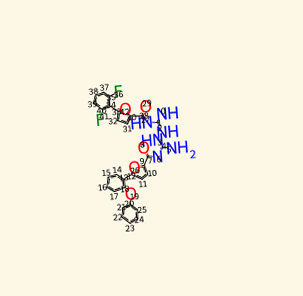 N=C(NNC(N)=NC(=O)c1ccc(-c2ccccc2Oc2ccccc2)o1)NC(=O)c1ccc(-c2c(F)cccc2F)o1